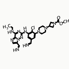 CCNc1nc(Nc2cc(C=N)cc(N3CCN(C4CN(C(=O)OC)C4)CC3)c2Cl)nn2c(C=N)cnc12